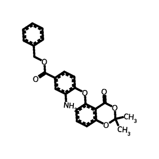 CC1(C)OC(=O)c2c(Oc3ccc(C(=O)OCc4ccccc4)cc3N)cccc2O1